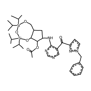 CC(=O)OC1C(Nc2ncncc2C(=O)c2ccn(Cc3ccccc3)n2)CC2CO[Si](C(C)C)(C(C)C)O[Si](C(C)C)(C(C)C)OC21